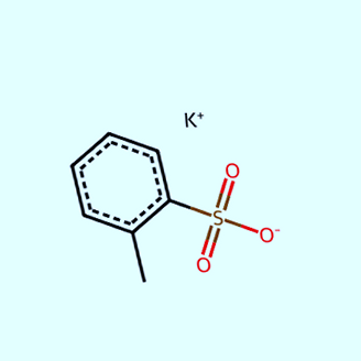 Cc1ccccc1S(=O)(=O)[O-].[K+]